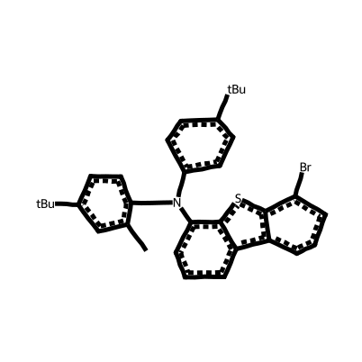 Cc1cc(C(C)(C)C)ccc1N(c1ccc(C(C)(C)C)cc1)c1cccc2c1sc1c(Br)cccc12